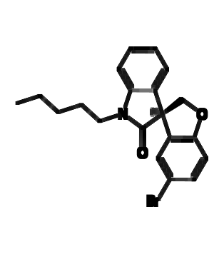 CCCCCN1C(=O)[C@]2(COc3ccc(Br)cc32)c2ccccc21